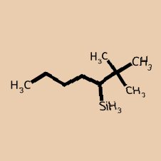 CCCCC([SiH3])C(C)(C)C